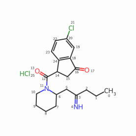 CCCC(=N)CC1CCCCN1C(=O)C1CC(=O)c2cc(Cl)ccc21.Cl